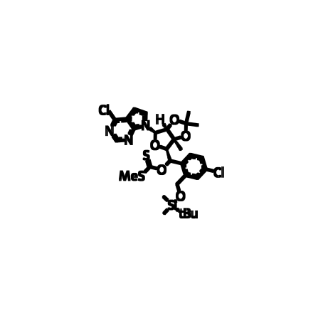 CSC(=S)OC(c1ccc(Cl)cc1CO[Si](C)(C)C(C)(C)C)[C@H]1O[C@@H](n2ccc3c(Cl)ncnc32)[C@@H]2OC(C)(C)O[C@]12C